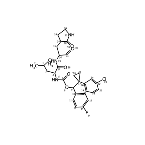 CC(C)CC(NC(=O)OC(c1ccc(F)cc1)C1(c2cccc(Cl)c2)CC1)C(=O)NC(C=O)CC1CCNC1=O